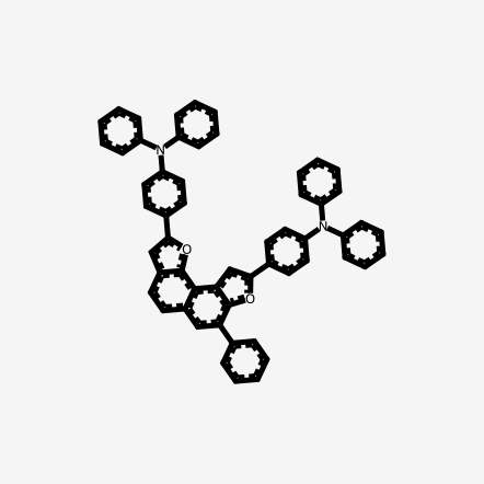 c1ccc(-c2cc3ccc4cc(-c5ccc(N(c6ccccc6)c6ccccc6)cc5)oc4c3c3cc(-c4ccc(N(c5ccccc5)c5ccccc5)cc4)oc23)cc1